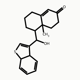 CC12CCC(=O)C=C1CCCC2C(O)C1=CSC2C=CC=CC12